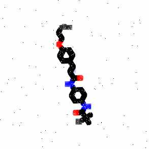 CCCCCCCCCCCCOc1ccc(/C=C/C(=O)NC2CCC(NC(=O)C(C)(C)CC)CC2)cc1